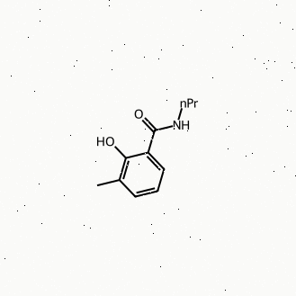 CCCNC(=O)c1cccc(C)c1O